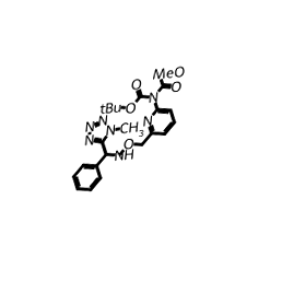 COC(=O)N(C(=O)OC(C)(C)C)c1cccc(CONC(c2ccccc2)c2nnnn2C)n1